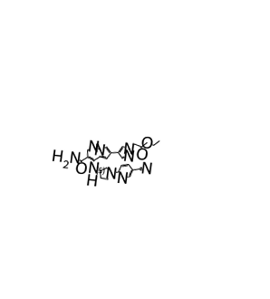 CCOC(=O)Cn1cc(-c2cc3c(N[C@H]4CCN(c5ccc(C#N)cn5)C4)c(C(N)=O)cnn3c2)cn1